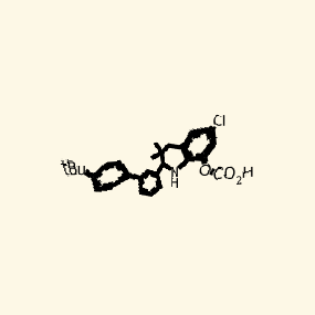 CC(C)(C)c1ccc(-c2cccc(C3Nc4c(cc(Cl)cc4OC(=O)O)CC3(C)C)c2)cc1